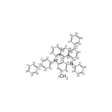 Cc1cc(N(c2ccccc2)c2ccc(-c3ccccc3)cc2)c(-c2ccccc2)c(N(c2ccccc2)c2ccc(-c3ccccc3)cc2)c1